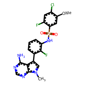 COc1cc(S(=O)(=O)Nc2cccc(-c3cn(C)c4ncnc(N)c34)c2F)c(F)cc1Cl